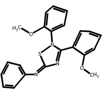 COc1ccccc1-c1nc(=Nc2ccccc2)sn1-c1ccccc1OC